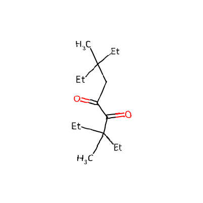 CCC(C)(CC)CC(=O)C(=O)C(C)(CC)CC